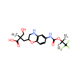 CC(CO)(CC1CNc2cc(NC(=O)OC(C)(C)C(F)(F)F)ccc2O1)C(=O)O